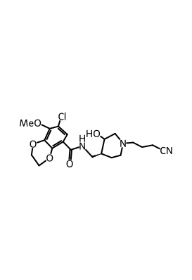 COc1c(Cl)cc(C(=O)NC[C@@H]2CCN(CCCC#N)CC2O)c2c1OCCO2